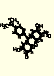 CN(C)c1ccc(-c2c3cc(O)c(=O)cc-3oc3cc(N=O)c(O)cc23)cc1